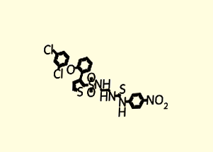 O=[N+]([O-])c1ccc(NC(=S)NCCNS(=O)(=O)c2sccc2-c2ccccc2Oc2ccc(Cl)cc2Cl)cc1